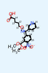 COC(OC)c1cc(/C(=N/OCCCCC(=O)O)c2cccnc2)ccc1[N+](=O)[O-]